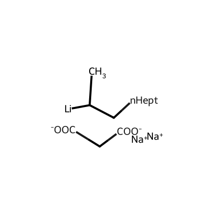 O=C([O-])CC(=O)[O-].[Li][CH](C)CCCCCCCC.[Na+].[Na+]